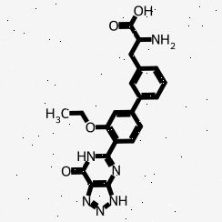 CCOc1cc(-c2cccc(CC(N)C(=O)O)c2)ccc1-c1nc2[nH]nnc2c(=O)[nH]1